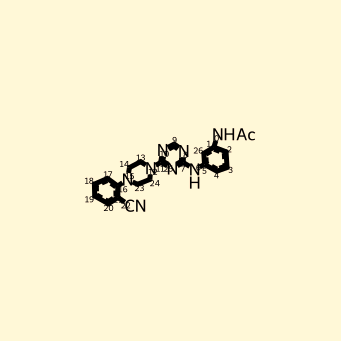 CC(=O)Nc1cccc(Nc2ncnc(N3CCN(c4ccccc4C#N)CC3)n2)c1